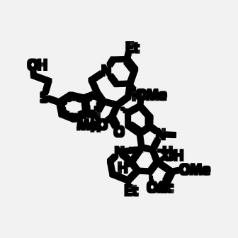 CCC1=C[C@H]2CN(C1)Cc1c([nH]c3ccc(SCCO)cc13)[C@@](C(=O)OC)(C1C=C3C(=CC1OC)N(C)[C@H]1[C@@](O)(C(=O)OC)[C@H](OC(C)=O)C4[C@@H](CC)CCN5CC[C@]31[C@H]45)C2